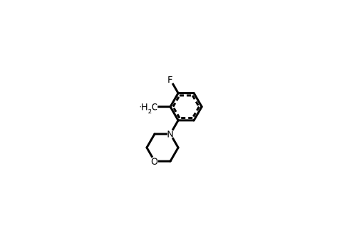 [CH2]c1c(F)cccc1N1CCOCC1